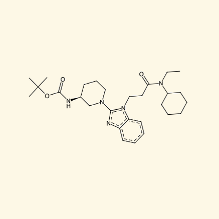 CCN(C(=O)CCn1c(N2CCC[C@H](NC(=O)OC(C)(C)C)C2)nc2ccccc21)C1CCCCC1